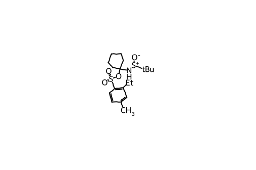 CCc1cc(C)ccc1S(=O)(=O)OC1(N[S+]([O-])C(C)(C)C)CCCCC1